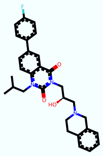 CC(C)Cn1c(=O)n(C[C@H](O)CN2CCc3ccccc3C2)c(=O)c2cc(-c3ccc(F)cc3)ccc21